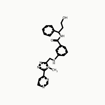 Cn1c(CNc2cccc(C(=O)NC(CCO)c3ccccc3)c2)nnc1-c1ccncn1